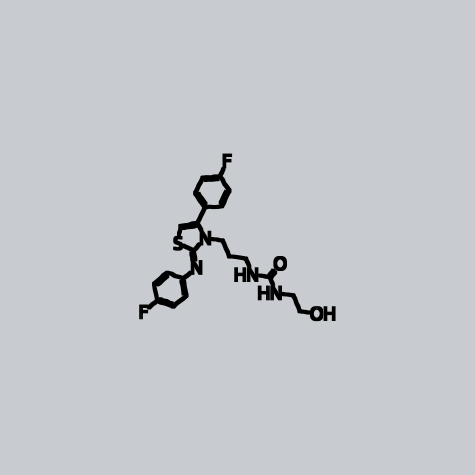 O=C(NCCO)NCCCn1c(-c2ccc(F)cc2)cs/c1=N\c1ccc(F)cc1